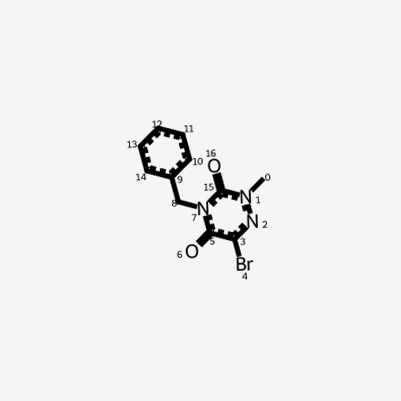 Cn1nc(Br)c(=O)n(Cc2ccccc2)c1=O